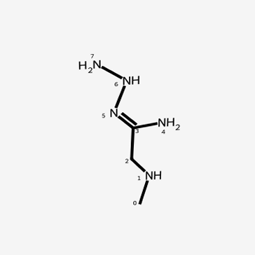 CNC/C(N)=N/NN